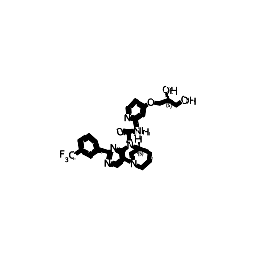 O=C(Nc1cc(OC[C@@H](O)CO)ccn1)N1c2nc(-c3cccc(C(F)(F)F)c3)ncc2N2CCC[C@H]1C2